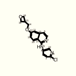 Clc1ccc(Nc2nccc3cc(OCC4COC4)ccc23)cn1